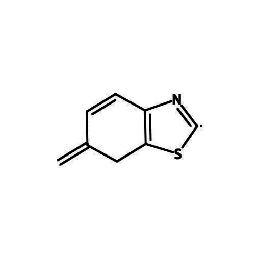 C=C1C=Cc2n[c]sc2C1